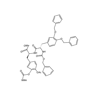 CNC(=O)Oc1cc(C[C@H](NC(=O)[C@H](Cc2ccc(OCc3ccccc3)c(OCc3ccccc3)c2)NC(=O)OCc2ccccc2)C(=O)OC)ccc1OC(C)=O